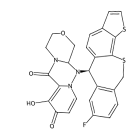 O=C1c2c(O)c(=O)ccn2N([C@@H]2c3cc(F)ccc3CSc3c2ccc2ccsc32)C2COCCN12